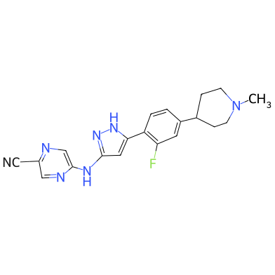 CN1CCC(c2ccc(-c3cc(Nc4cnc(C#N)cn4)n[nH]3)c(F)c2)CC1